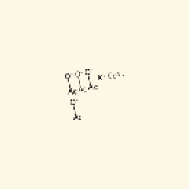 CC(=O)[O-].CC(=O)[O-].CC(=O)[O-].CC(=O)[O-].[Ce+3].[K+]